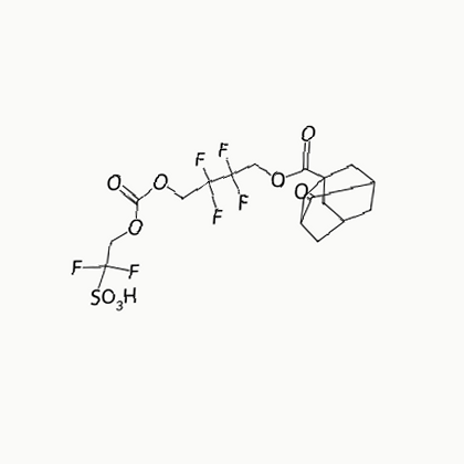 O=C(OCC(F)(F)C(F)(F)COC(=O)C12CC3CC(C1)C(=O)C(C3)C2)OCC(F)(F)S(=O)(=O)O